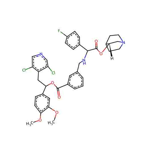 COc1ccc(C(Cc2c(Cl)cncc2Cl)OC(=O)c2cccc(CNC(C(=O)O[C@H]3CN4CCC3CC4)c3ccc(F)cc3)c2)cc1OC